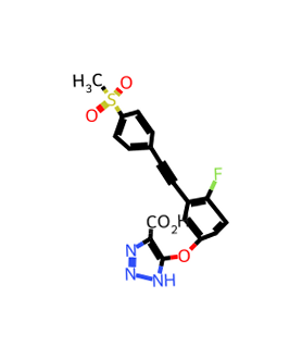 CS(=O)(=O)c1ccc(C#Cc2cc(Oc3[nH]nnc3C(=O)O)ccc2F)cc1